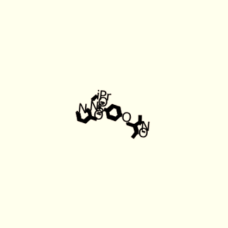 Cc1cccnc1N(CC(C)C)S(=O)(=O)c1ccc(OCc2c(C)noc2C)cc1